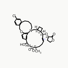 C[C@@H]1CC/C=C/[C@H](O[C@@H]2CCOC2=O)[C@@H]2CC[C@H]2CN2CCCCc3cc(Cl)ccc3COc3ccc(cc32)C(O)NS1(=O)=O